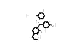 Cc1cc(Cl)ccc1NC(c1ccc(Cl)c(Cl)c1)c1ccc2cccnc2c1O